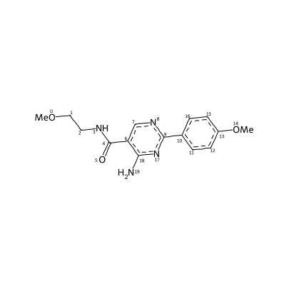 COCCNC(=O)c1cnc(-c2ccc(OC)cc2)nc1N